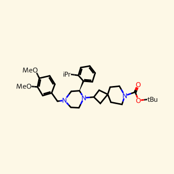 COc1ccc(CN2CCN(C3CC4(CCN(C(=O)OC(C)(C)C)CC4)C3)[C@H](c3ccccc3C(C)C)C2)cc1OC